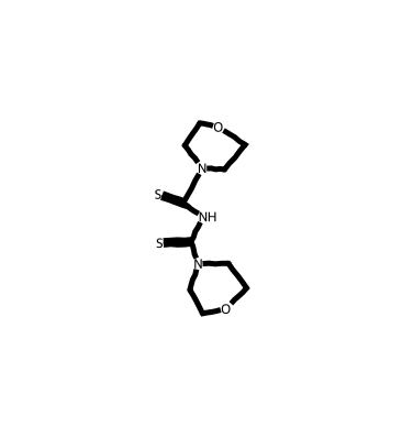 S=C(NC(=S)N1CCOCC1)N1CCOCC1